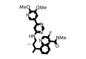 CNC(=O)c1c(F)cnc2c(C(C)[C@H](C)CNc3cc(-c4cnc(OC)c(OC)c4)ncn3)cccc12